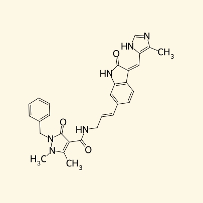 Cc1nc[nH]c1C=C1C(=O)Nc2cc(C=CCNC(=O)c3c(C)n(C)n(Cc4ccccc4)c3=O)ccc21